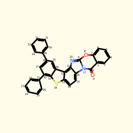 O=c1c2ccccc2oc2nc3c4c(ccc3n12)sc1c(-c2ccccc2)cc(-c2ccccc2)cc14